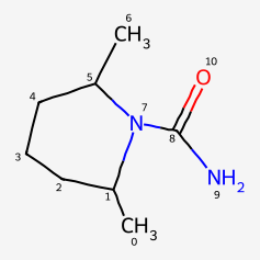 CC1CCCC(C)N1C(N)=O